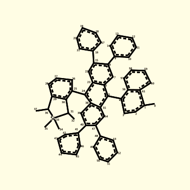 Cc1ccc(-c2c3cc(-c4ccccc4)c(-c4ccccc4)cc3c(-c3cccc4c3C(C)[Si](C)(C)C4C)c3cc(-c4ccccc4)c(-c4ccccc4)cc23)c2ccccc12